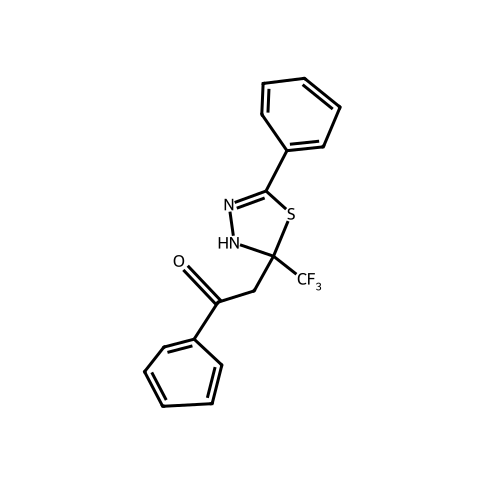 O=C(CC1(C(F)(F)F)NN=C(c2ccccc2)S1)c1ccccc1